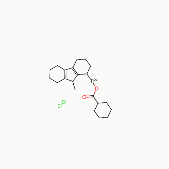 CC1C2=C(CCCC2)C2=C1[CH]([Ti+2][O]C(=O)C1CCCCC1)CCC2.[Cl-].[Cl-]